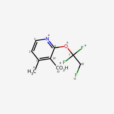 Cc1ccnc(OC(F)(F)CF)c1C(=O)O